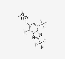 C[SiH](C)OCc1cc(C(C)(C)C)c2nc(C(F)(F)F)nn2c1I